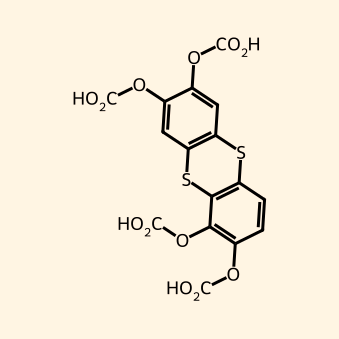 O=C(O)Oc1cc2c(cc1OC(=O)O)Sc1c(ccc(OC(=O)O)c1OC(=O)O)S2